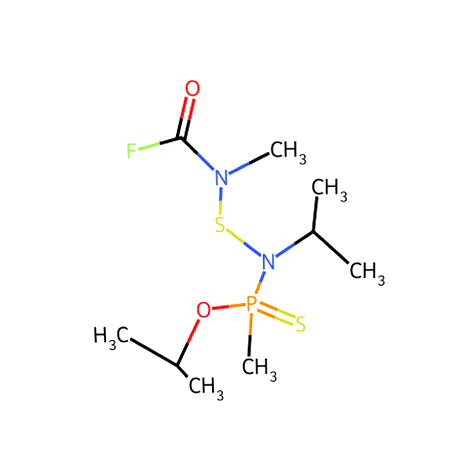 CC(C)OP(C)(=S)N(SN(C)C(=O)F)C(C)C